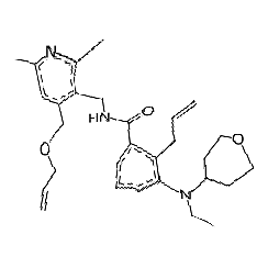 C=CCOCc1cc(C)nc(C)c1CNC(=O)c1cccc(N(CC)C2CCOCC2)c1CC=C